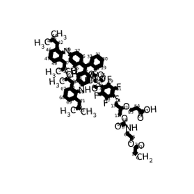 C=CC(=O)OCCNC(=O)OCC(CSc1c(F)c(F)c(S(=O)(=O)NS(=O)(=O)c2ccccc2-c2c3cc/c(=N/c4c(CC(C)C)cccc4CC(C)C)cc-3oc3cc(Nc4c(CC(C)C)cccc4CC(C)C)ccc23)c(F)c1F)OCCC(=O)O